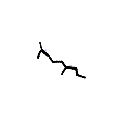 [CH2]/C(C)=C/CC/C(C)=C/CC